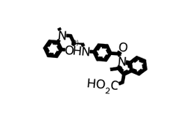 Cc1c(CC(=O)O)c2ccccc2n1C(=O)c1ccc(NC[C@@H]2CN(C)c3ccccc3O2)cc1